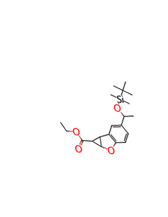 CCOC(=O)C1C2Oc3ccc(C(C)O[Si](C)(C)C(C)(C)C)cc3C21